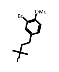 COc1ccc(CCC(C)(C)F)cc1Br